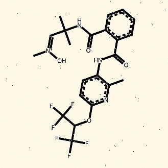 Cc1nc(OC(C(F)(F)F)C(F)(F)F)ccc1NC(=O)c1ccccc1C(=O)NC(C)(C)C=[N+](C)O